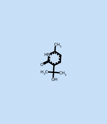 Cc1ccc(C(C)(C)O)c(=O)[nH]1